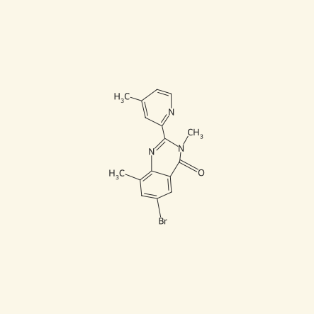 Cc1ccnc(-c2nc3c(C)cc(Br)cc3c(=O)n2C)c1